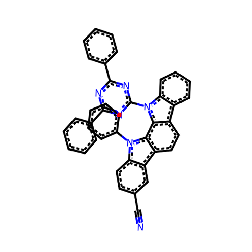 N#Cc1ccc2c(c1)c1ccc3c4ccccc4n(-c4nc(-c5ccccc5)nc(-c5ccccc5)n4)c3c1n2-c1ccccc1